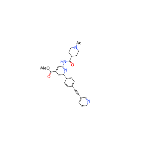 COC(=O)c1cc(NC(=O)C2CCN(C(C)=O)CC2)nc(-c2ccc(C#Cc3cccnc3)cc2)c1